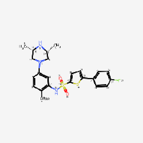 COc1ccc(N2C[C@@H](C)N[C@@H](C)C2)cc1NS(=O)(=O)c1ccc(-c2ccc(F)cc2)s1